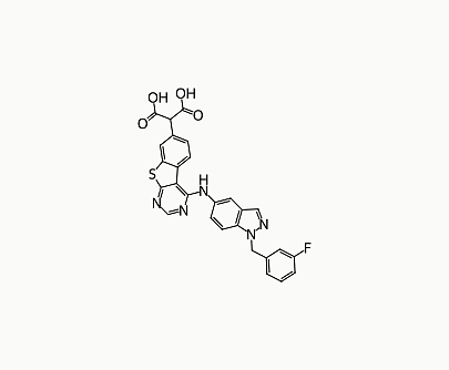 O=C(O)C(C(=O)O)c1ccc2c(c1)sc1ncnc(Nc3ccc4c(cnn4Cc4cccc(F)c4)c3)c12